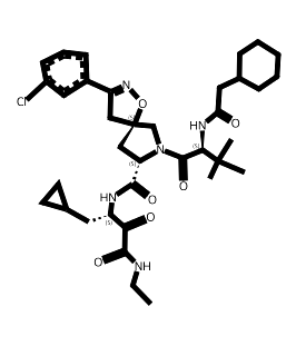 CCNC(=O)C(=O)[C@H](CC1CC1)NC(=O)[C@@H]1C[C@]2(CC(c3cccc(Cl)c3)=NO2)CN1C(=O)[C@@H](NC(=O)CC1CCCCC1)C(C)(C)C